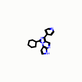 c1cc(-c2nc(C3CCCCC3)n3c2cnc2[nH]ccc23)ccn1